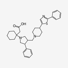 O=C(O)CC1(N2CC(CN3CCC(c4cnc(-c5ccccc5)s4)CC3)C(c3ccccc3)C2)CCCCC1